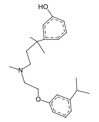 CC(C)c1cccc(OCCN(C)CCC(C)(C)c2cccc(O)c2)c1